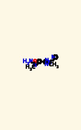 CN(Cc1cccc(-c2cnc(N(C)CCc3ccccn3)nc2)c1)C(=O)CN